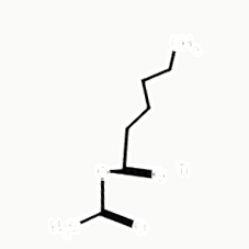 CCCCCC(=O)OC(C)=O.[Ti]